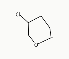 ClC1CC[CH]OC1